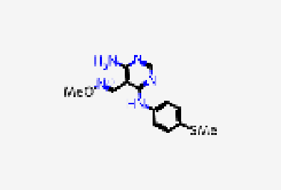 CO/N=C/c1c(N)ncnc1Nc1ccc(SC)cc1